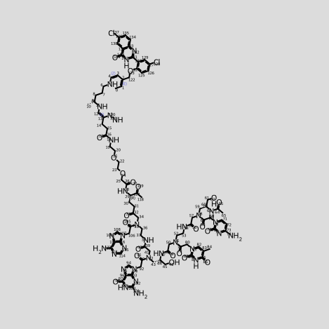 C/C=C(\C=C/NCCC[C@@H](C)N/C=C(/CCC(=O)NCCOCCOCC(=O)N[C@H](CCC(=O)CN(CCNC(=O)CN(C[C@@H](CO)NC(=O)CN(CCNC(=O)CN(C[C@@H](CO)NC(C)=O)C(=O)Cn1ccc(N)nc1=O)C(=O)Cn1cc(C)c(=O)[nH]c1=O)C(=O)Cn1cnc2c(=O)[nH]c(N)nc21)C(=O)Cn1cnc2c(N)ncnc21)C(C)=O)N=N)COc1ccc(Cl)cc1-c1nc2ccc(Cl)cc2c(=O)[nH]1